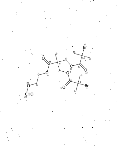 CC(C)(Br)C(=O)OCC(C)(COC(=O)C(C)(C)Br)C(=O)OCCOC=O